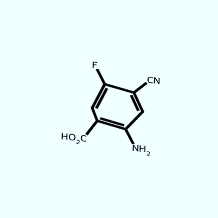 N#Cc1cc(N)c(C(=O)O)cc1F